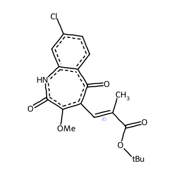 COc1c(/C=C(\C)C(=O)OC(C)(C)C)c(=O)c2ccc(Cl)cc2[nH]c1=O